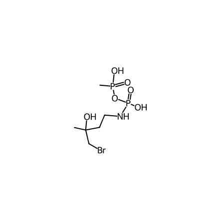 CC(O)(CBr)CCNP(=O)(O)OP(C)(=O)O